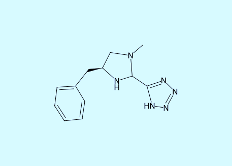 CN1C[C@H](Cc2ccccc2)NC1c1nnn[nH]1